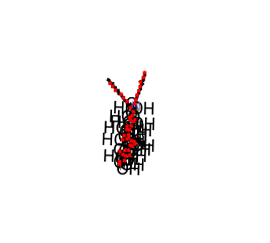 CCCCCCCCCCCCC/C=C/[C@@H](O)[C@H](CO[C@@H]1OC(CO)[C@@H](O[C@@H]2OC(CO)[C@H](O[C@@H]3OC(CO)[C@H](O)[C@H](O[C@@H]4OC(CO[C@@H]5OC(CO)[C@@H](O)[C@H](O[C@H]6C(O)[C@H](O)C(C)O[C@H]6O)C5NC(C)=O)[C@H](O)[C@H](O)C4NC(C)=O)C3O)[C@H](O)C2O)[C@H](O)C1O)NC(=O)CCCCCCCCCCCCCCC